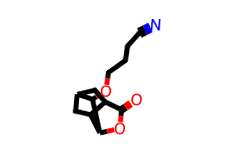 N#CCCCOC1C2CC3C(=O)OC1C3C2